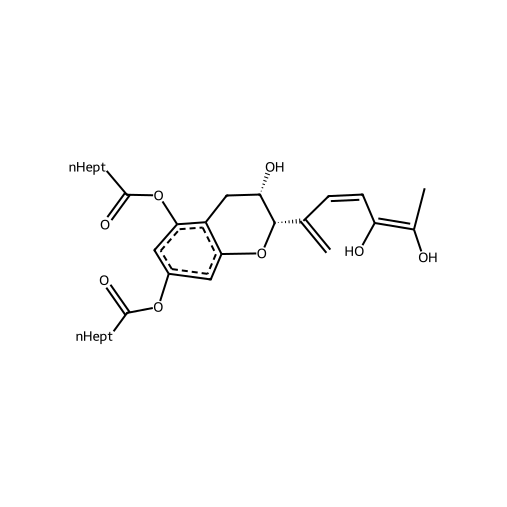 C=C(/C=C\C(O)=C(/C)O)[C@@H]1Oc2cc(OC(=O)CCCCCCC)cc(OC(=O)CCCCCCC)c2C[C@@H]1O